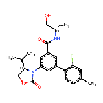 Cc1ccc(-c2cc(C(=O)N[C@@H](C)CO)cc(N3C(=O)OC[C@H]3C(C)C)c2)c(F)c1